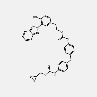 O=C(Nc1ccc(Cc2ccc(NC(=O)OCC3CO3)cc2)cc1)OCCc1ccc(O)c(-n2nc3ccccc3n2)c1